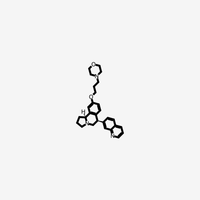 c1cnc2cc([C@H]3CN4CCC[C@H]4c4cc(OCCCN5CCOCC5)ccc43)ccc2c1